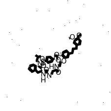 COc1ccc(CCCc2cccc(OCCNC(=O)CCN(C)C(=O)N[C@H](CCN(CC(C)C)S(=O)(=O)c3ccc([N+](=O)[O-])cc3)Cc3ccccc3)c2)cc1OC